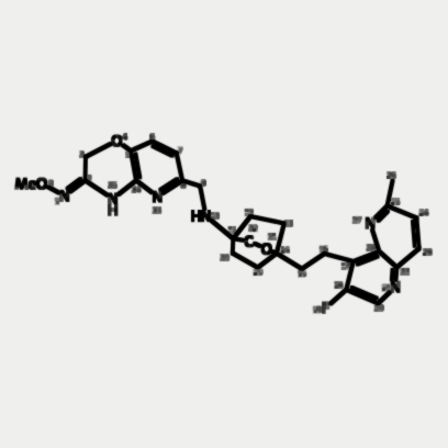 CO/N=C1\COc2ccc(CNC34CCC(CCc5c(F)cnc6ccc(C)nc56)(CC3)OC4)nc2N1